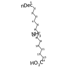 CCCCCCCCCCCCCCCCCCCCCCCC(=O)O.N